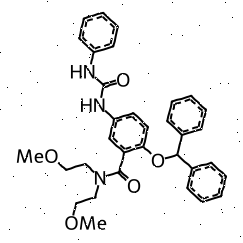 COCCN(CCOC)C(=O)c1cc(NC(=O)Nc2ccccc2)ccc1OC(c1ccccc1)c1ccccc1